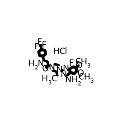 CCC1CN(C(=O)CC(N)c2ccc(C(F)(F)F)cc2)CCN1c1nc(N)c2cc(OC)c(OC)c(F)c2n1.Cl